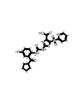 O=C(Nc1nc(C(=O)O)c(S(=O)(=O)c2ccccn2)s1)Nc1ccc(F)cc1C(=O)C1CCCC1